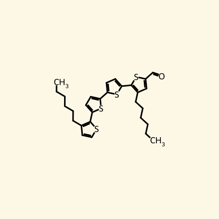 CCCCCCc1ccsc1-c1ccc(-c2ccc(-c3sc(C=O)cc3CCCCCC)s2)s1